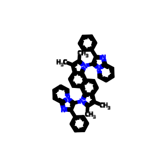 Cc1c(C)n(-c2c(-c3ccccc3)nc3ccccn23)c2c1ccc1c2ccc2c(C)c(C)n(-c3c(-c4ccccc4)nc4ccccn34)c21